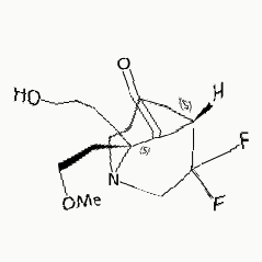 COC[C@@]1(CO)C(=O)[C@@H]2CCN1CC2(F)F